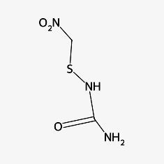 NC(=O)NSC[N+](=O)[O-]